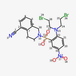 N#Cc1cccc2c1CCN(S(=O)(=O)c1cc([N+](=O)[O-])ccc1N(CCBr)CCBr)C2